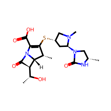 C[C@H]1CN([C@H]2C[C@H](SC3=C(C(=O)O)N4C(=O)[C@H]([C@@H](C)O)[C@H]4[C@H]3C)CN2C)C(=O)N1